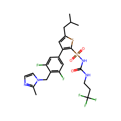 Cc1nccn1Cc1c(F)cc(-c2cc(CC(C)C)sc2S(=O)(=O)NC(=O)NCCC(F)(F)F)cc1F